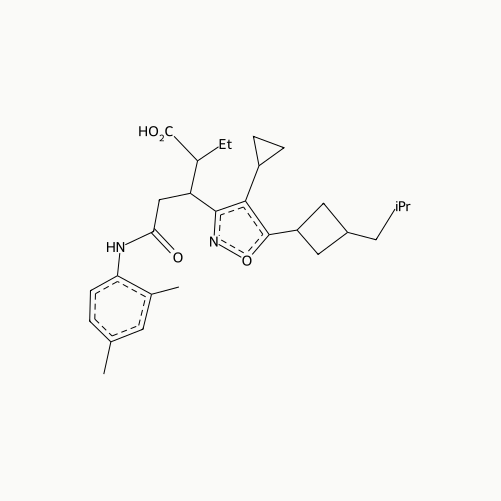 CCC(C(=O)O)C(CC(=O)Nc1ccc(C)cc1C)c1noc(C2CC(CC(C)C)C2)c1C1CC1